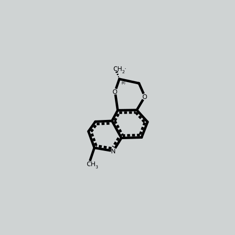 [CH2][C@@H]1COc2ccc3nc(C)ccc3c2O1